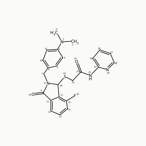 CN(C)c1ccc(CN2C(=O)c3cccc(F)c3C2SCC(=O)Nc2ccccn2)cc1